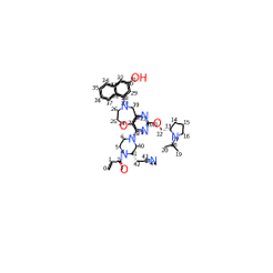 C=CC(=O)N1CCN(c2nc(OC[C@@H]3CCCN3C(C)C)nc3c2OCCN(c2cc(O)cc4ccccc24)C3)C[C@@H]1CC#N